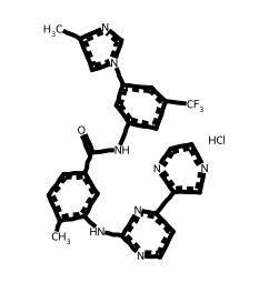 Cc1cn(-c2cc(NC(=O)c3ccc(C)c(Nc4nccc(-c5cnccn5)n4)c3)cc(C(F)(F)F)c2)cn1.Cl